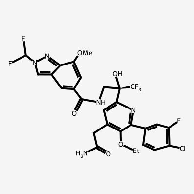 CCOc1c(CC(N)=O)cc([C@@](O)(CNC(=O)c2cc(OC)c3nn(C(F)F)cc3c2)C(F)(F)F)nc1-c1ccc(Cl)c(F)c1